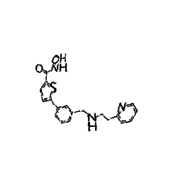 O=C(NO)c1ccc(-c2cccc(CNCCc3ccccn3)c2)s1